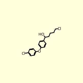 OC(CCCCCl)c1ccc(Oc2ccc(Cl)cc2)cc1